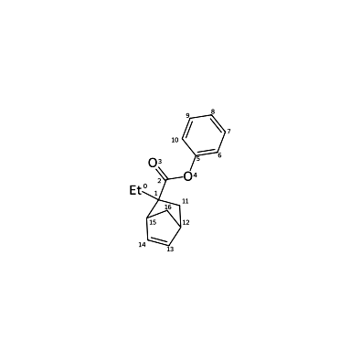 CCC1(C(=O)Oc2ccccc2)CC2C=CC1C2